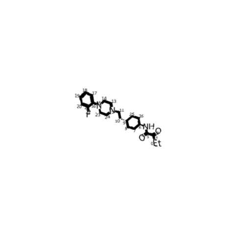 CCC(=O)C(=O)N[C@H]1CC[C@H](CCN2CCN(c3ccccc3F)CC2)CC1